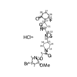 COc1cc(Br)cnc1OCC(=O)N1CCC(c2nc(C3=NOC(c4c(F)cccc4Cl)C3)cs2)CC1.Cl